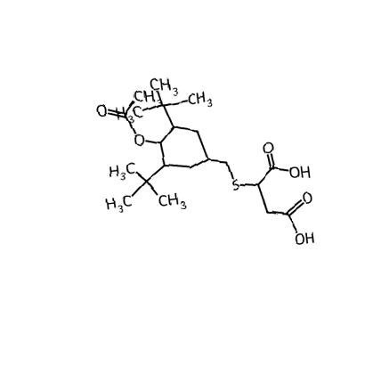 CC(=O)OC1C(C(C)(C)C)CC(CSC(CC(=O)O)C(=O)O)CC1C(C)(C)C